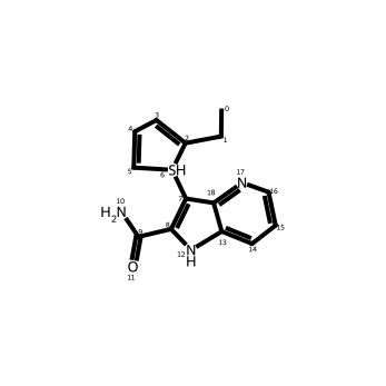 CCC1=CC=C[SH]1c1c(C(N)=O)[nH]c2cccnc12